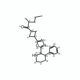 CCCC(C)C(=O)N1CC(c2nnc(C3NCCCC3c3ccccc3)o2)C1